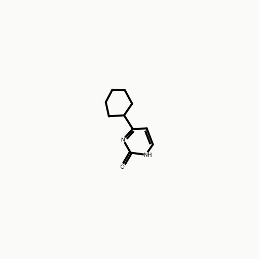 O=c1nc(C2CCCCC2)cc[nH]1